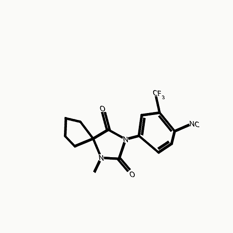 [C-]#[N+]c1ccc(N2C(=O)N(C)C3(CCCC3)C2=O)cc1C(F)(F)F